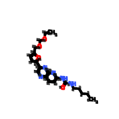 CCCCCNC(=O)Nc1ccc2ncc(-c3ccc(COCOCC)o3)nc2n1